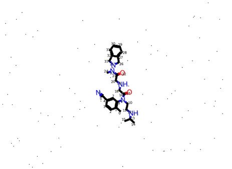 Cc1ccc(C#N)cc1N(CCNC(C)C)C(=O)CNCC(=O)N(C)N1Cc2ccccc2C1